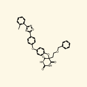 O=C1NC(=O)C(CCOCc2ccccc2)(Oc2ccc(Oc3ccc(-c4nc(-c5ccccc5F)no4)cc3)cc2)C(=O)N1